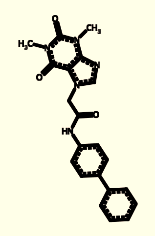 Cn1c(=O)c2c(ncn2CC(=O)Nc2ccc(-c3ccccc3)cc2)n(C)c1=O